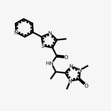 Cc1nc(-c2cccnc2)sc1C(=O)NC(C)c1nn(C)c(=O)n1C